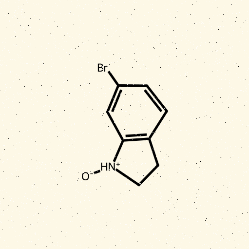 [O-][NH+]1CCc2ccc(Br)cc21